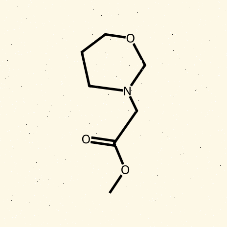 COC(=O)CN1CCCOC1